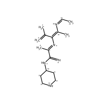 C=C(C)C(/N=C(\C)C(=P)NC1CCNCC1)=C(C)\N=C/C